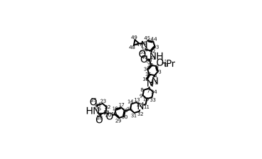 CC(C)Oc1cc2nn(C3CCC(CN4CCC(c5ccc(O[C@H]6CCC(=O)NC6=O)cc5)CC4)CC3)cc2cc1C(=O)Nc1cccn(C2CC2)c1=O